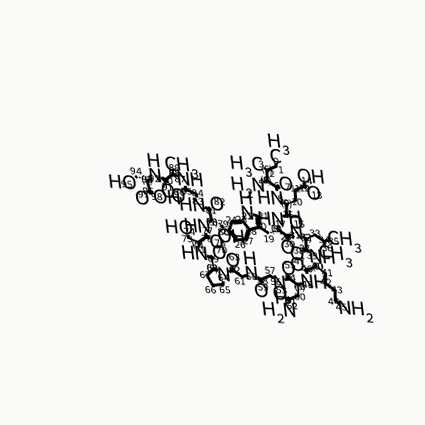 CC[C@H](C)[C@H](N)C(=O)N[C@@H](CCC(=O)O)C(=O)N[C@@H](Cc1c[nH]c2ccccc12)C(=O)N[C@@H](CC(C)C)C(=O)N[C@@H](CCCCN)C(=O)N[C@@H](CC(N)=O)C(=O)NCC(=O)NCC(=O)N1CCC[C@H]1C(=O)N[C@@H](CO)C(=O)N[C@@H](CO)C(=O)NCC(=O)N[C@@H](C)C(=O)N[C@@H](CO)C(=O)O